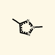 Cc1cnn(C)n1